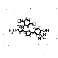 CS(=O)(=O)c1cc(-c2ccc(-c3cc(C(F)(F)F)nn3-c3cc(Cl)ccc3Cl)s2)ccc1O